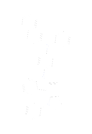 c1ccc(N(c2ccc(-n3c4ccccc4c4c5c(ccc43)ccn5-c3ccccc3)cc2)c2ccc3ccccc3c2)cc1